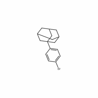 Brc1ccc(C23CC4CC(CC(C4)C2)C3)cc1